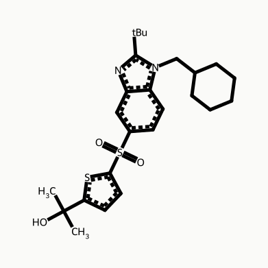 CC(C)(C)c1nc2cc(S(=O)(=O)c3ccc(C(C)(C)O)s3)ccc2n1CC1CCCCC1